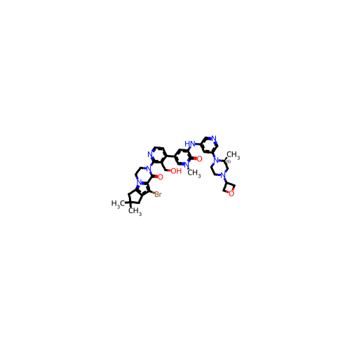 C[C@H]1CN(C2COC2)CCN1c1cncc(Nc2cc(-c3ccnc(N4CCn5c6c(c(Br)c5C4=O)CC(C)(C)C6)c3CO)cn(C)c2=O)c1